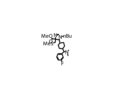 CCCCN1C=NC(CSC)(C(=O)OC)C1C1CCC(C(c2cccc(F)c2)N(C)C)CC1